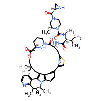 CCn1c(-c2cccnc2C(C)C)c2c3cc(ccc31)-c1csc(n1)C[C@H](NC(=O)[C@H](C(C)C)N(C)C(=O)N1CCN(C(=O)[C@H]3CN3)C[C@H]1C)C(=O)N1CCC[C@H](N1)C(=O)OCC(C)(C)C2